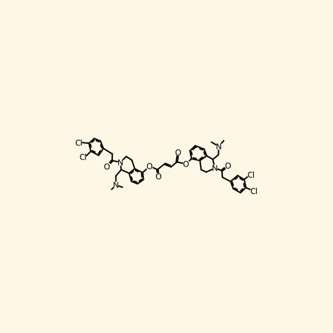 CN(C)CC1c2cccc(OC(=O)/C=C/C(=O)Oc3cccc4c3CCN(C(=O)Cc3ccc(Cl)c(Cl)c3)C4CN(C)C)c2CCN1C(=O)Cc1ccc(Cl)c(Cl)c1